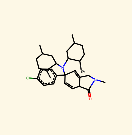 CC1CCC(C(C)C)C(N(C2CC(C)CCC2C(C)C)C2(c3ccc(Cl)cc3)C=CC3C(=O)N(C)CC3=C2)C1